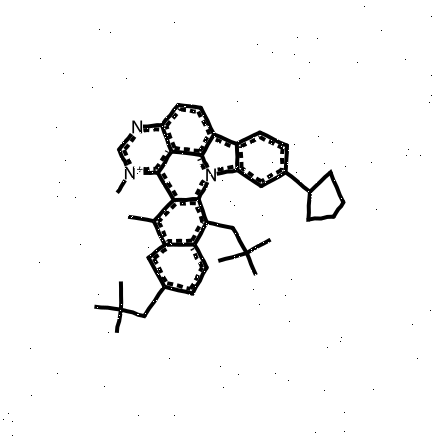 Cc1c2cc(CC(C)(C)C)ccc2c(CC(C)(C)C)c2c1c1c3c(ccc4c5ccc(C6CCCC6)cc5n2c43)nc[n+]1C